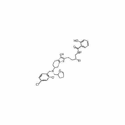 CCC(CCc1sc2c(c1C#N)CCC(N(Cc1ccc(Cl)cc1Cl)CC1CCCO1)C2)CNC(=O)c1ccccc1O